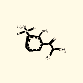 C=C(C)C(=O)c1cccc(S(N)(=O)=O)c1N